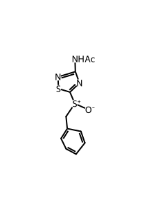 CC(=O)Nc1nsc([S+]([O-])Cc2ccccc2)n1